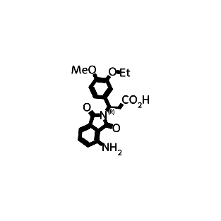 CCOc1cc([C@@H](CC(=O)O)N2C(=O)c3cccc(N)c3C2=O)ccc1OC